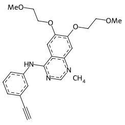 C.C#Cc1cccc(Nc2ncnc3cc(OCCOC)c(OCCOC)cc23)c1